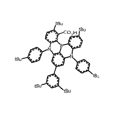 CC(C)(C)c1ccc(N2c3ccc(C(C)(C)C)cc3B3c4c2cc(-c2cc(C(C)(C)C)cc(C(C)(C)C)c2)cc4N(c2ccc(C(C)(C)C)cc2)c2ccc(C(C)(C)C)c(C(=O)O)c23)cc1